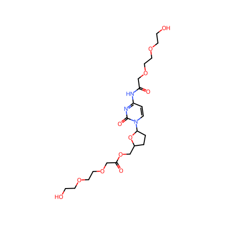 O=C(COCCOCCO)Nc1ccn(C2CCC(COC(=O)COCCOCCO)O2)c(=O)n1